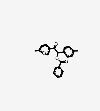 Cc1ccc(C(=O)C(OC(=O)c2ccccc2)c2ccc(C)cc2)cc1